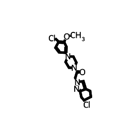 COc1cc(N2CCN(C(=O)Cn3cc4c(n3)CC(Cl)CC4)CC2)ccc1Cl